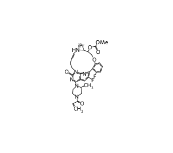 C=CC(=O)N1CCN(c2nc(=O)n3c4nc(c(F)cc24)-c2c(F)cccc2OC[C@H](OC(=O)OC)C(C(C)C)N/C=C\CC3)[C@@H](C)C1